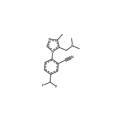 Cc1ncn(-c2ccc(C(F)F)cc2C#N)c1CN(C)C